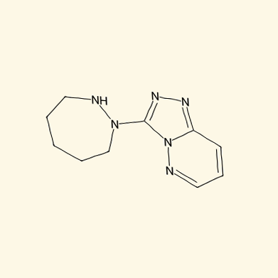 c1cnn2c(N3CCCCCN3)nnc2c1